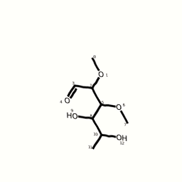 COC(C=O)C(OC)C(O)C(C)O